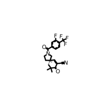 CC1(C)C[C@]2(C=C(C#N)C1=O)CCN(C(=O)c1ccc(C(F)(F)F)c(F)c1)C2